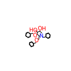 OC1CN(Cc2ccccc2)C(COCc2ccccc2)C(OCc2ccccc2)C1O